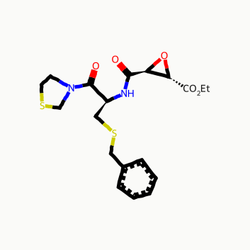 CCOC(=O)[C@H]1O[C@@H]1C(=O)N[C@@H](CSCc1ccccc1)C(=O)N1CCSC1